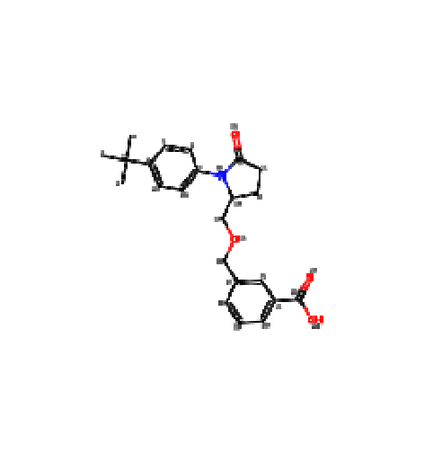 CC(C)(C)c1ccc(N2C(=O)CCC2COCc2cccc(C(=O)O)c2)cc1